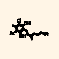 CC(=O)c1c(C)c(Cl)c(O)c(CCC(C)CCCC(C)C)c1O